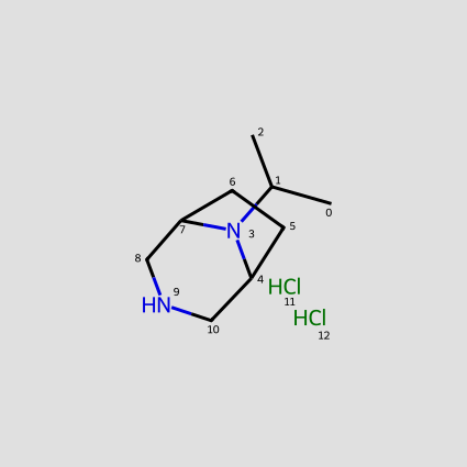 CC(C)N1C2CCC1CNC2.Cl.Cl